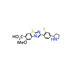 COc1cc2c(cc1C(=O)O)sc1nc(-c3ccc(C4CCCN4)cc3F)cn12